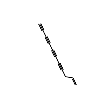 [C]#CC#CC#CC#CCC=C